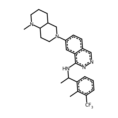 Cc1c(C(C)Nc2nncc3ccc(N4CCC5C(CCCN5C)C4)cc23)cccc1C(F)(F)F